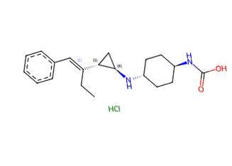 CC/C(=C\c1ccccc1)[C@@H]1C[C@H]1N[C@H]1CC[C@H](NC(=O)O)CC1.Cl